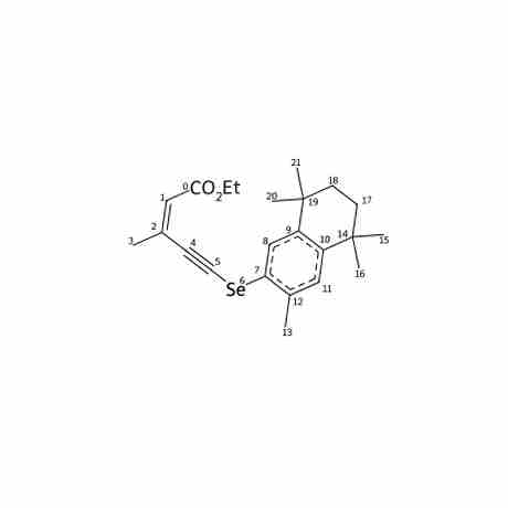 CCOC(=O)C=C(C)C#C[Se]c1cc2c(cc1C)C(C)(C)CCC2(C)C